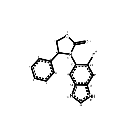 O=C1OCC(c2ccccc2)N1c1cc2nc[nH]c2cc1F